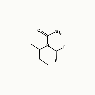 CCC(C)N(C(N)=O)C(F)F